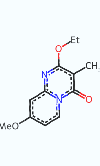 CCOc1nc2cc(OC)ccn2c(=O)c1C